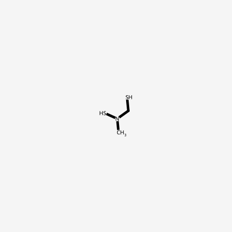 CN(S)CS